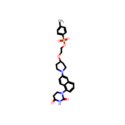 Cc1ccc(S(=O)(=O)OCCOC2CCN(c3ccc4c(N5CCC(=O)NC5=O)cccc4c3)CC2)cc1